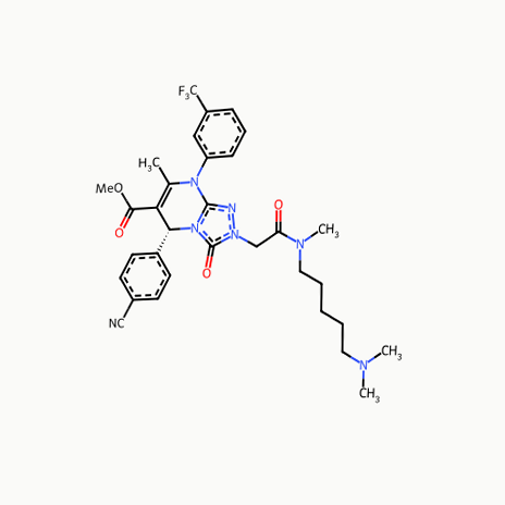 COC(=O)C1=C(C)N(c2cccc(C(F)(F)F)c2)c2nn(CC(=O)N(C)CCCCCN(C)C)c(=O)n2[C@@H]1c1ccc(C#N)cc1